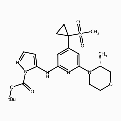 C[C@@H]1COCCN1c1cc(C2(S(C)(=O)=O)CC2)cc(Nc2ccnn2C(=O)OC(C)(C)C)n1